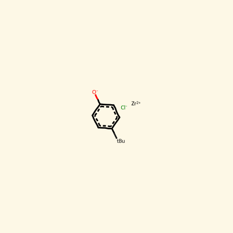 CC(C)(C)c1ccc([O-])cc1.[Cl-].[Zr+2]